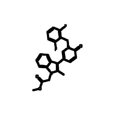 COC(=O)Cn1c(C)c(-c2ccc(=O)n(Cc3c(F)cccc3F)c2)c2ccccc21